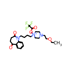 CCOCCN1CC[N+](CCCCN2C(=O)CCC(=O)c3ccccc32)(OC(=O)C(F)(F)F)CC1